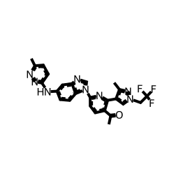 CC(=O)c1ccc(-n2cnc3cc(Nc4ccc(C)nn4)ccc32)nc1-c1cn(CC(F)(F)F)nc1C